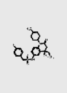 CCC1(C)CC(=O)N(C2CCC(C)CC2)c2ccc(NS(=O)(=O)Cc3ccc(F)cc3)cc21